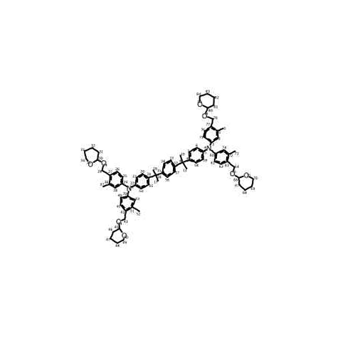 Cc1cc(N(c2ccc(C(C)(C)c3ccc(C(C)(C)c4ccc(N(c5ccc(COC6CCCCO6)c(C)c5)c5ccc(COC6CCCCO6)c(C)c5)cc4)cc3)cc2)c2ccc(COC3CCCCO3)c(C)c2)ccc1COC1CCCCO1